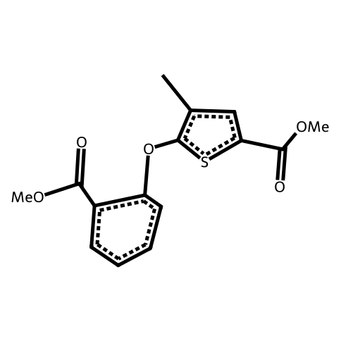 COC(=O)c1cc(C)c(Oc2ccccc2C(=O)OC)s1